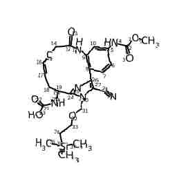 COC(=O)Nc1ccc2c(c1)NC(=O)CCC=CC[C@H](NC(=O)O)c1nc-2c(C#N)n1COCC[Si](C)(C)C